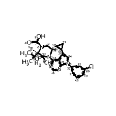 CC(C)(C)[C@@]1(F)N(C(=O)O)CC(F)N(c2ncnc3c2c(C2CC2)cn3-c2cccc(Cl)c2)C1(C)F